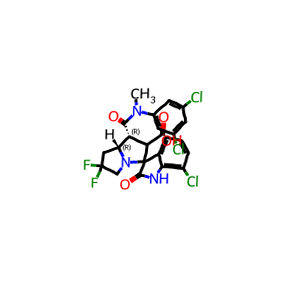 CN(C(=O)[C@@H]1C(C(=O)O)C2(C(=O)Nc3c(Cl)cccc32)N2CC(F)(F)C[C@H]12)c1cc(Cl)cc(Cl)c1